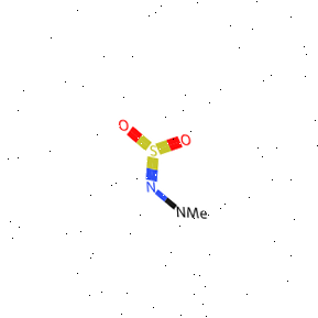 CNN=S(=O)=O